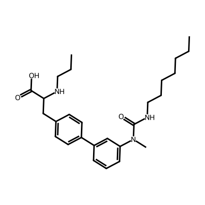 CCCCCCCNC(=O)N(C)c1cccc(-c2ccc(CC(NCCC)C(=O)O)cc2)c1